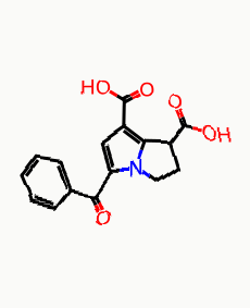 O=C(O)c1cc(C(=O)c2ccccc2)n2c1C(C(=O)O)CC2